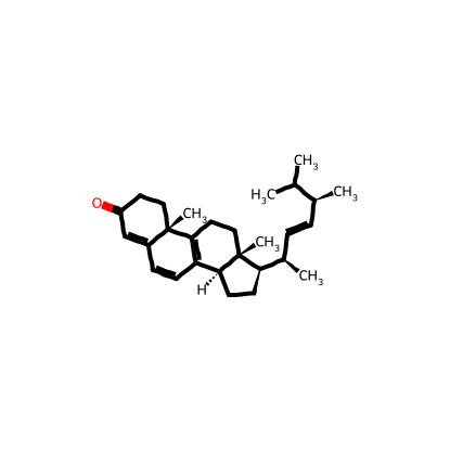 CC(C)[C@@H](C)C=C[C@@H](C)[C@H]1CC[C@H]2C3=C(CC[C@]12C)[C@@]1(C)CCC(=O)C=C1C=C3